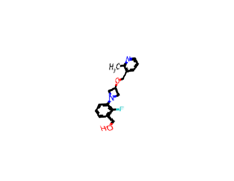 Cc1ncccc1COC1CN(c2cccc(CO)c2F)C1